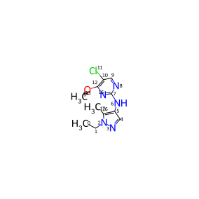 CCn1ncc(Nc2ncc(Cl)c(OC)n2)c1C